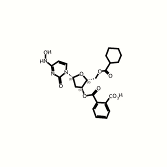 O=C(O)c1ccccc1C(=O)O[C@H]1C[C@H](n2ccc(NO)nc2=O)O[C@@H]1COC(=O)C1CCCCC1